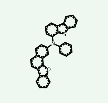 c1ccc(N(c2ccc3ccc4c5ccccc5oc4c3c2)c2cccc3c2sc2ccccc23)cc1